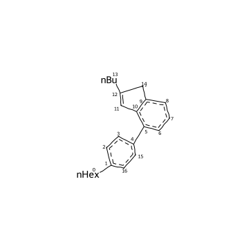 CCCCCCc1ccc(-c2cccc3c2C=C(CCCC)[CH]3)cc1